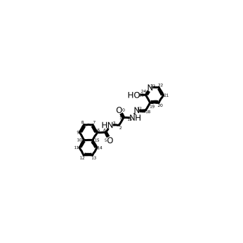 O=C(CNC(=O)c1cccc2ccccc12)NN=Cc1cccnc1O